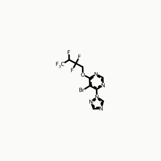 FC(C(F)(F)F)C(F)(F)COc1ncnc(-n2cncn2)c1Br